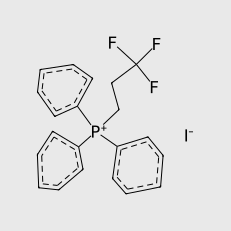 FC(F)(F)CC[P+](c1ccccc1)(c1ccccc1)c1ccccc1.[I-]